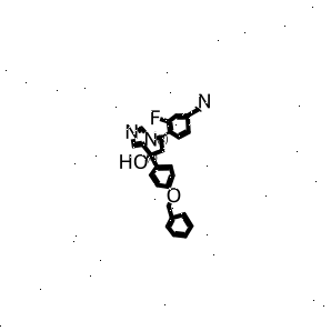 N#Cc1ccc([C@H]2C[C@@](O)(c3ccc(OCc4ccccc4)cc3)c3cncn32)c(F)c1